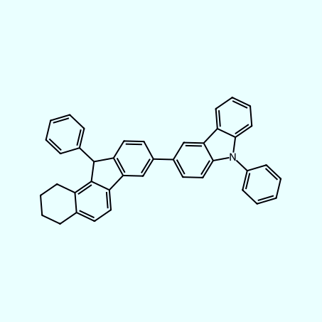 c1ccc(C2c3ccc(-c4ccc5c(c4)c4ccccc4n5-c4ccccc4)cc3-c3ccc4c(c32)CCCC4)cc1